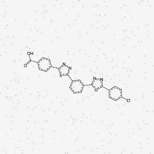 O=C(O)c1ccc(-c2nnc(-c3cccc(-c4nnc(-c5ccc(Cl)cc5)o4)c3)s2)cc1